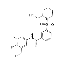 O=C(Nc1cc(F)c(F)c(CF)c1)c1cccc(S(=O)(=O)N2CCCCC2CO)c1